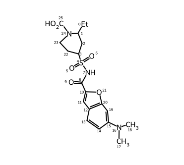 CCC1CC(S(=O)(=O)NC(=O)c2cc3ccc(N(C)C)cc3o2)CCN1C(=O)O